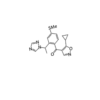 CSc1ccc(C(=O)c2cnoc2C2CC2)c(C(C)n2cncn2)c1